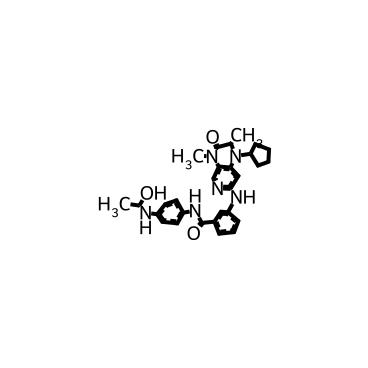 CC(O)Nc1ccc(NC(=O)c2cccc(Nc3cc4c(cn3)N(C)C(=O)C(C)N4C3CCCC3)c2)cc1